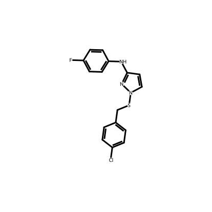 Fc1ccc(Nc2ccn(SCc3ccc(Cl)cc3)n2)cc1